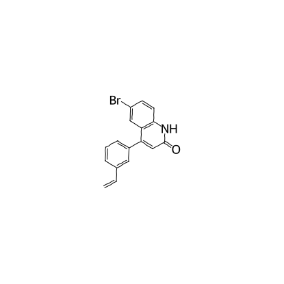 C=Cc1cccc(-c2cc(=O)[nH]c3ccc(Br)cc23)c1